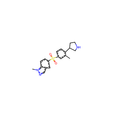 Cc1cc(S(=O)(=O)c2ccc3c(cnn3C)c2)ccc1C1CCNC1